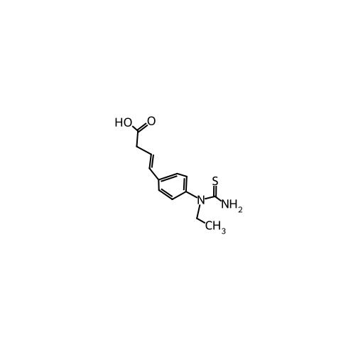 CCN(C(N)=S)c1ccc(C=CCC(=O)O)cc1